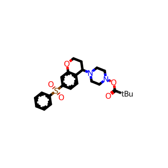 CC(C)(C)C(=O)ON1CCN(C2CCOc3cc(S(=O)(=O)c4ccccc4)ccc32)CC1